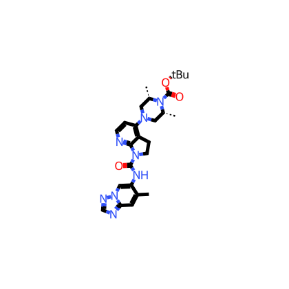 Cc1cc2ncnn2cc1NC(=O)N1CCc2c(N3C[C@@H](C)N(C(=O)OC(C)(C)C)[C@@H](C)C3)ccnc21